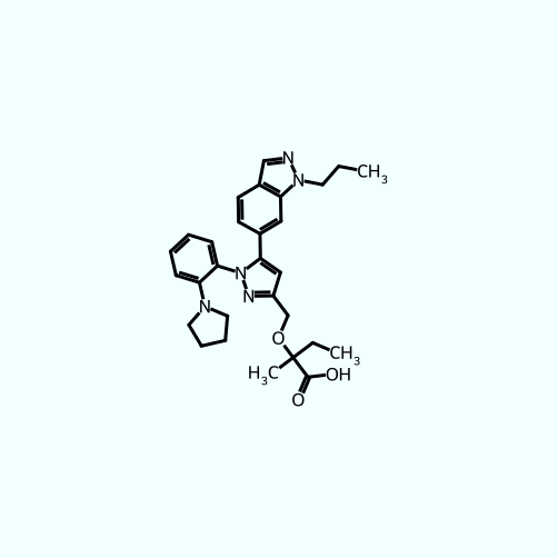 CCCn1ncc2ccc(-c3cc(COC(C)(CC)C(=O)O)nn3-c3ccccc3N3CCCC3)cc21